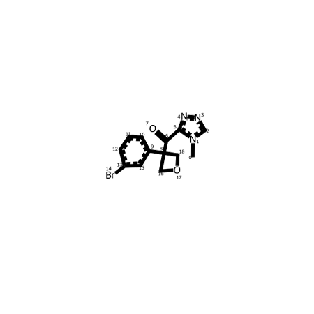 Cn1cnnc1C(=O)C1(c2cccc(Br)c2)COC1